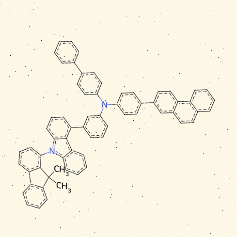 CC1(C)c2ccccc2-c2cccc(-n3c4ccccc4c4c(-c5cccc(N(c6ccc(-c7ccccc7)cc6)c6ccc(-c7ccc8c(ccc9ccccc98)c7)cc6)c5)cccc43)c21